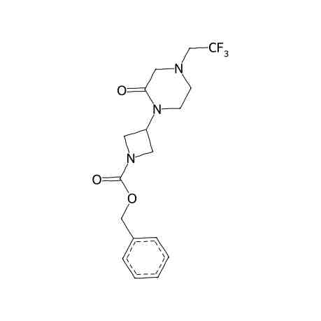 O=C(OCc1ccccc1)N1CC(N2CCN(CC(F)(F)F)CC2=O)C1